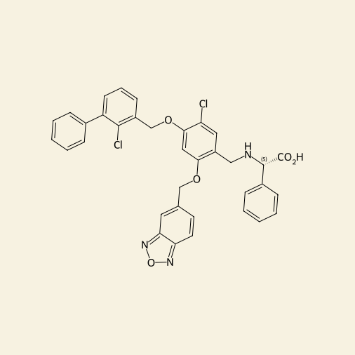 O=C(O)[C@@H](NCc1cc(Cl)c(OCc2cccc(-c3ccccc3)c2Cl)cc1OCc1ccc2nonc2c1)c1ccccc1